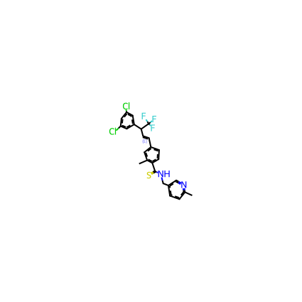 Cc1ccc(CNC(=S)c2ccc(/C=C/C(c3cc(Cl)cc(Cl)c3)C(F)(F)F)cc2C)cn1